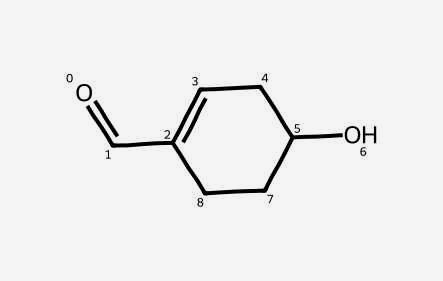 O=CC1=CCC(O)CC1